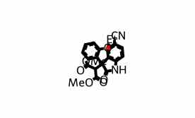 CCOc1ccccc1C1(C(C(=O)OC)C(=O)OC)C(=O)Nc2ccc(C#N)cc21